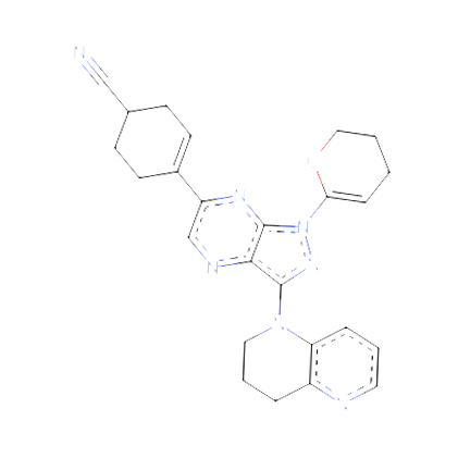 N#CC1CC=C(c2cnc3c(N4CCCc5ncccc54)nn(C4=CCCCO4)c3n2)CC1